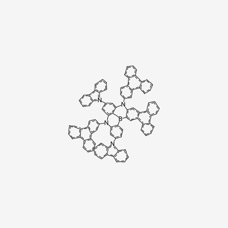 c1ccc2c(c1)c1ccccc1c1cc(N3c4cc(-n5c6ccccc6c6ccccc65)ccc4B4c5cc6c7ccccc7c7ccccc7c6cc5N(c5ccc6c7ccccc7c7ccccc7c6c5)c5cc(-n6c7ccccc7c7ccccc76)cc3c54)ccc21